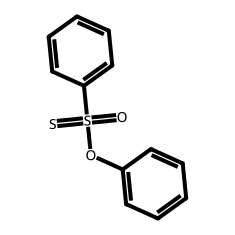 O=S(=S)(Oc1ccccc1)c1ccccc1